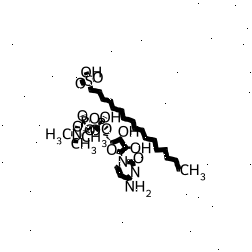 CCCCCCCCCCCCCCCCCCS(=O)(=O)O.C[N+](C)(C)OP(=O)([O-])OP(=O)(O)OC[C@H]1O[C@@H](n2ccc(N)nc2=O)[C@H](O)[C@@H]1O